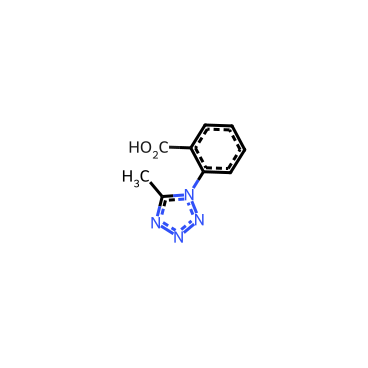 Cc1nnnn1-c1ccccc1C(=O)O